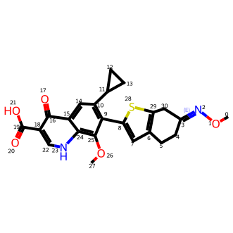 CO/N=C1\CCc2cc(-c3c(C4CC4)cc4c(=O)c(C(=O)O)c[nH]c4c3OC)sc2C1